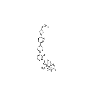 COC1CN(c2ccc(N3CCN(c4cccc(CO[Si](C)(C)C(C)(C)C)c4F)CC3)nn2)C1